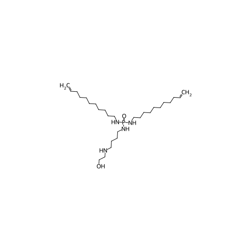 C=CCCCCCCCCCNP(=O)(NCCCCCCCCCC=C)NCCCCNCCO